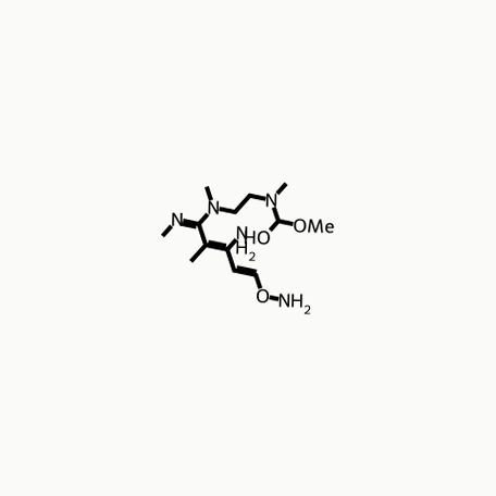 C\N=C(/C(C)=C(N)/C=C/ON)N(C)CCN(C)C(O)OC